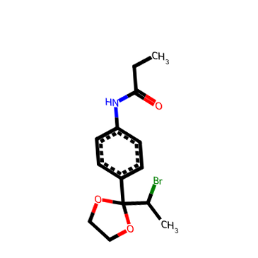 CCC(=O)Nc1ccc(C2(C(C)Br)OCCO2)cc1